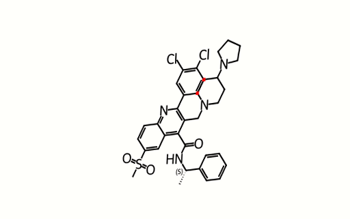 C[C@H](NC(=O)c1c(CN2CCC(N3CCCC3)CC2)c(-c2ccc(Cl)c(Cl)c2)nc2ccc(S(C)(=O)=O)cc12)c1ccccc1